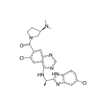 C[C@@H](Nc1ncnc2cc(C(=O)N3CC[C@@H](N(C)C)C3)c(Cl)cc12)c1nc2cc(Cl)ccc2[nH]1